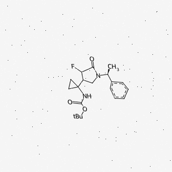 C[C@@H](c1ccccc1)N1CC(C2(NC(=O)OC(C)(C)C)CC2)C(F)C1=O